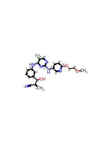 C=C(C#N)C(O)c1cccc(Nc2nc(Nc3ccc(OCCOC)nc3)ncc2F)c1